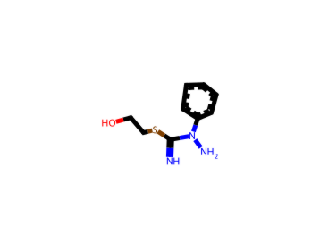 N=C(SCCO)N(N)c1ccccc1